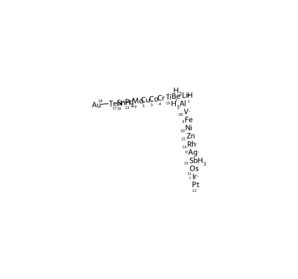 [Ag].[AlH3].[BeH2].[Co].[Cr].[Cu].[Fe].[Ir].[LiH].[Mo].[Ni].[Os].[Pd].[Pt].[Rh].[SbH3].[SnH4].[TeH+][Au].[Ti].[V].[Zn]